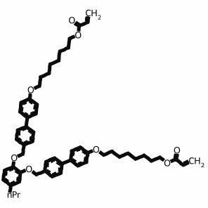 C=CC(=O)OCCCCCCCCOc1ccc(-c2ccc(COc3ccc(CCC)cc3OCc3ccc(-c4ccc(OCCCCCCCCOC(=O)C=C)cc4)cc3)cc2)cc1